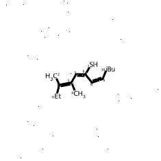 CC/C(C)=C(C)/C=C(S)\C=C/C(C)CC